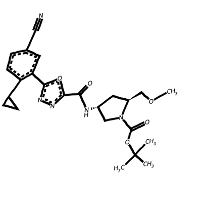 COC[C@@H]1C[C@@H](NC(=O)c2nnc(-c3cc(C#N)ccc3C3CC3)o2)CN1C(=O)OC(C)(C)C